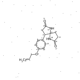 C=CCOc1ccc(C2CC(=O)NC23CCC(=O)N3)cc1